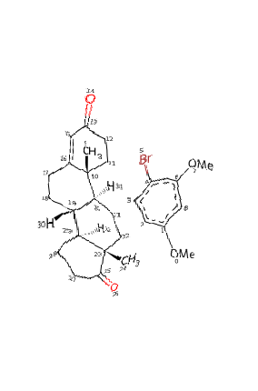 COc1ccc(Br)c(OC)c1.C[C@]12CCC(=O)C=C1CC[C@@H]1[C@@H]2CC[C@]2(C)C(=O)CC[C@@H]12